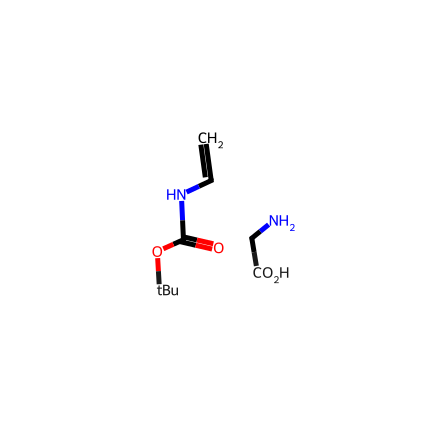 C=CNC(=O)OC(C)(C)C.NCC(=O)O